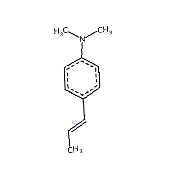 C/C=C/c1ccc(N(C)C)cc1